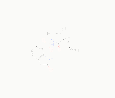 C=C[C@@H]1C[C@@]1(C(=O)NS(=O)(=O)c1cccc2c1NC(=O)C2)C(C)C